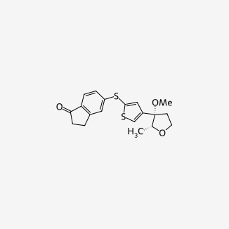 CO[C@]1(c2csc(Sc3ccc4c(c3)CCC4=O)c2)CCO[C@@H]1C